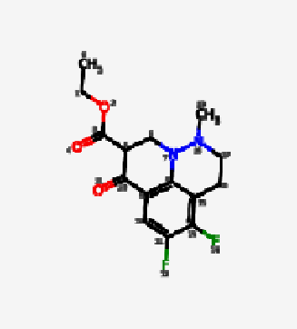 CCOC(=O)C1CN2c3c(cc(F)c(F)c3CCN2C)C1=O